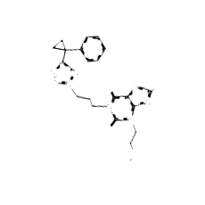 COCCn1c(=O)n(CCCn2nnc(C3(c4ccccc4)CC3)n2)c(=O)c2[nH]c(Cl)nc21